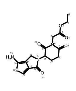 CCOC(=O)CN1C(=O)CCC(N2Cc3c(csc3N)C2=O)C1=O